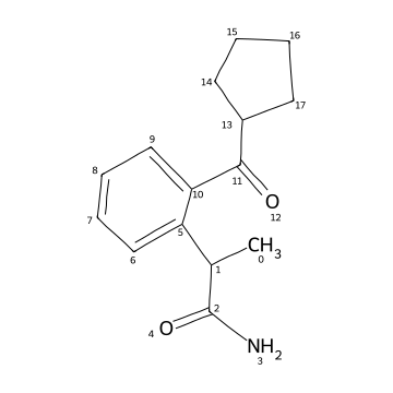 CC(C(N)=O)c1ccccc1C(=O)C1CCCC1